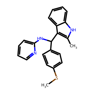 CSc1ccc(C(Nc2ccccn2)c2c(C)[nH]c3ccccc23)cc1